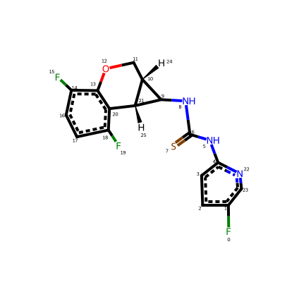 Fc1ccc(NC(=S)NC2[C@H]3COc4c(F)ccc(F)c4[C@@H]23)nc1